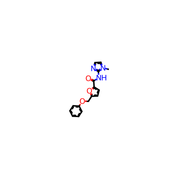 Cn1ccnc1NC(=O)c1ccc(COc2ccccc2)o1